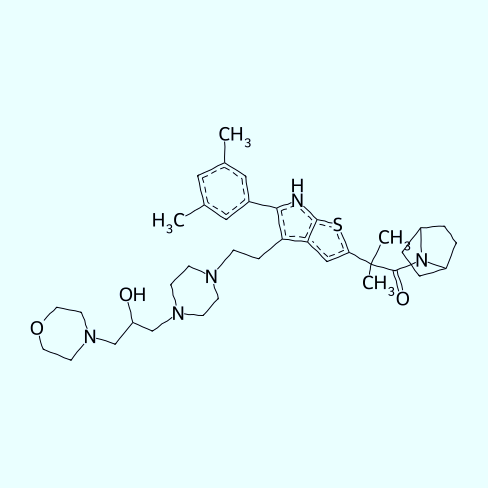 Cc1cc(C)cc(-c2[nH]c3sc(C(C)(C)C(=O)N4C5CCC4CC5)cc3c2CCN2CCN(CC(O)CN3CCOCC3)CC2)c1